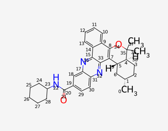 C[C@H]1CC[C@H]2[C@H](C1)c1c(c3ccccc3c3nc4cc(C(=O)NC5CCCCC5)ccc4nc13)OC2(C)C